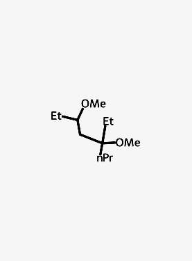 CCCC(CC)(CC(CC)OC)OC